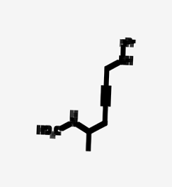 CCCNCC#CCC(C)NC(=O)O